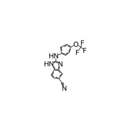 N#Cc1ccc2[nH]c(Nc3ccc(OC(F)(F)F)cc3)nc2c1